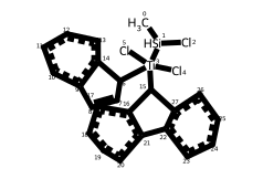 C[SiH](Cl)[Ti]([Cl])([Cl])([CH]1C=Cc2ccccc21)[CH]1c2ccccc2-c2ccccc21